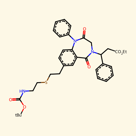 CCOC(=O)CC(c1ccccc1)N1CC(=O)N(c2ccccc2)c2ccc(CCSCCNC(=O)OC(C)(C)C)cc2C1=O